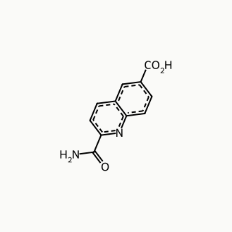 NC(=O)c1ccc2cc(C(=O)O)ccc2n1